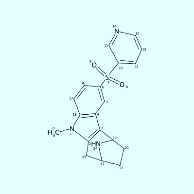 Cn1c2c(c3cc(S(=O)(=O)c4cccnc4)ccc31)C1CCC(C2)N1